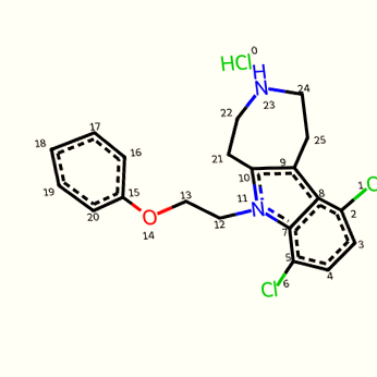 Cl.Clc1ccc(Cl)c2c1c1c(n2CCOc2ccccc2)CCNCC1